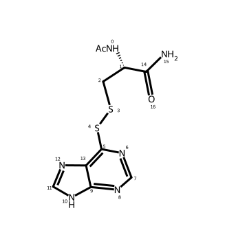 CC(=O)N[C@@H](CSSc1ncnc2[nH]cnc12)C(N)=O